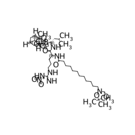 CC(C)C[C@H](NC(=O)[C@H](CCCNC(=N)N[N+](=O)[O-])NC(=O)CCCCCCCCCCCN(C=O)OC(C)(C)C)B1O[C@@H]2C[C@@H]3C[C@@H](C3(C)C)[C@]2(C)O1